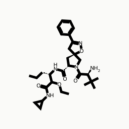 CCC[C@H](NC(=O)[C@@H]1C[C@]2(CC(c3ccccc3)=NO2)CN1C(=O)[C@@H](N)C(C)(C)C)C(OCC)C(=O)NC1CC1